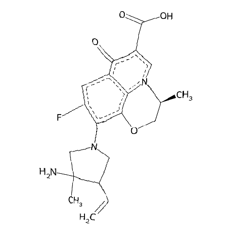 C=CC1CN(c2c(F)cc3c(=O)c(C(=O)O)cn4c3c2OC[C@@H]4C)CC1(C)N